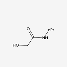 CCCNC(=O)CO